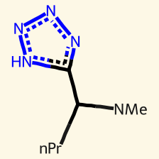 CCCC(NC)c1nnn[nH]1